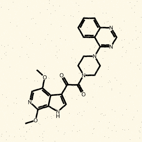 COc1ncc(OC)c2c(C(=O)C(=O)N3CCN(c4ncnc5ccccc45)CC3)c[nH]c12